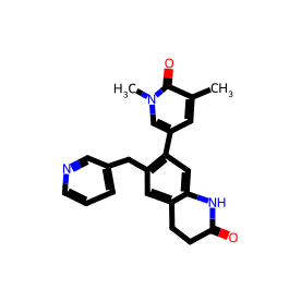 Cc1cc(-c2cc3c(cc2Cc2cccnc2)CCC(=O)N3)cn(C)c1=O